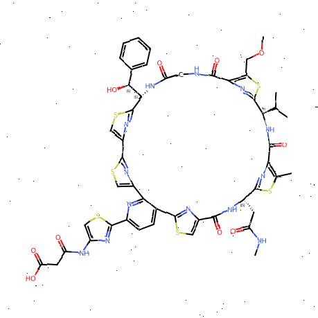 CNC(=O)C[C@@H]1NC(=O)c2csc(n2)-c2ccc(-c3nc(NC(=O)CC(=O)O)cs3)nc2-c2csc(n2)-c2csc(n2)[C@H]([C@@H](O)c2ccccc2)NC(=O)CNC(=O)c2nc(sc2COC)[C@@H](C(C)C)NC(=O)c2nc1sc2C